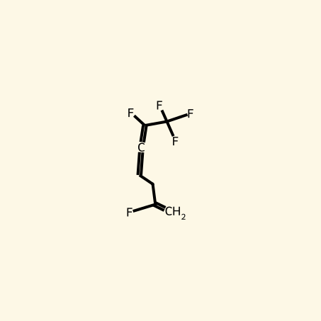 C=C(F)CC=C=C(F)C(F)(F)F